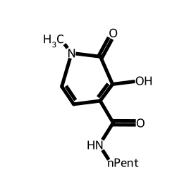 CCCCCNC(=O)c1ccn(C)c(=O)c1O